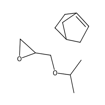 C1=C2CCC(C1)C2.CC(C)OCC1CO1